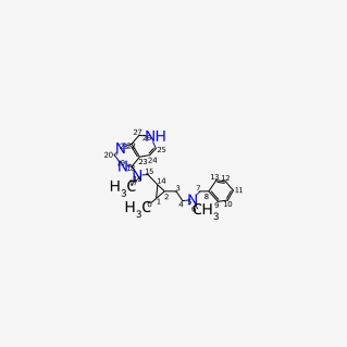 CC1C(CCN(C)Cc2ccccc2)C1CN(C)c1ncnc2c1C=CNC2